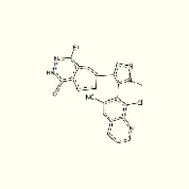 CCc1n[nH]c(=O)c2ccc(-c3cnn(C)c3-c3c(C#N)cc4cccnc4c3Cl)cc12